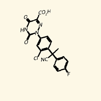 CC(C#N)(c1ccc(F)cc1)c1ccc(-n2nc(C(=O)O)c(=O)[nH]c2=O)cc1Cl